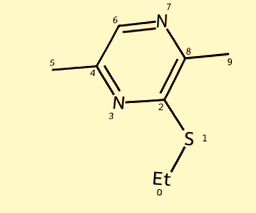 CCSc1nc(C)cnc1C